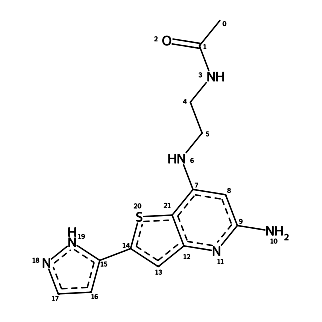 CC(=O)NCCNc1cc(N)nc2cc(-c3ccn[nH]3)sc12